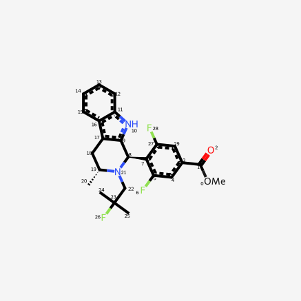 COC(=O)c1cc(F)c([C@@H]2c3[nH]c4ccccc4c3C[C@@H](C)N2CC(C)(C)F)c(F)c1